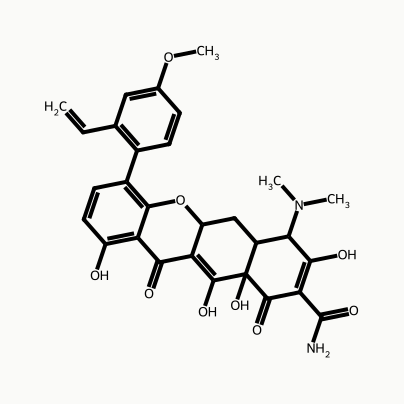 C=Cc1cc(OC)ccc1-c1ccc(O)c2c1OC1CC3C(N(C)C)C(O)=C(C(N)=O)C(=O)C3(O)C(O)=C1C2=O